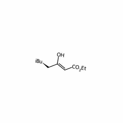 CCOC(=O)/C=C(\O)C[C@H](C)CC